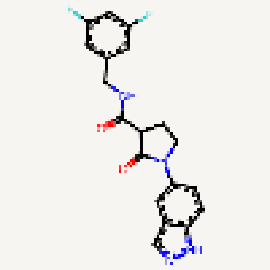 O=C(NCc1cc(F)cc(F)c1)C1CCN(c2ccc3[nH]ncc3c2)C1=O